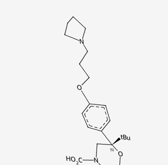 CC(C)(C)[C@]1(c2ccc(OCCCN3CCCC3)cc2)CN(C(=O)O)CCO1